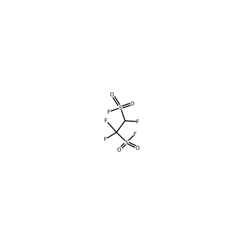 O=S(=O)(F)C(F)C(F)(F)S(=O)(=O)F